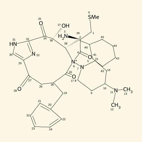 CSC[C@H](N)C(=O)[N+]1(N2CCC(N(C)C)CC2)C(=O)C(Cc2ccccc2)CC(=O)c2c[nH]c(n2)C(=O)[C@H](O)[C@@H]1CC1CCCCC1